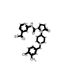 CCC(=O)c1ccnc(NC(=O)[C@H]2CCC(=O)N2C2CCN(Cc3ccc(Cl)c(C)c3)CC2)c1